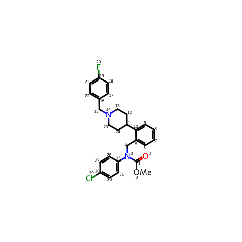 COC(=O)N(Cc1ccccc1C1CCN(Cc2ccc(F)cc2)CC1)c1ccc(Cl)cc1